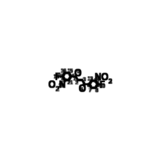 O=C(C=CC(=O)c1ccc(F)c([N+](=O)[O-])c1)c1ccc(F)c([N+](=O)[O-])c1